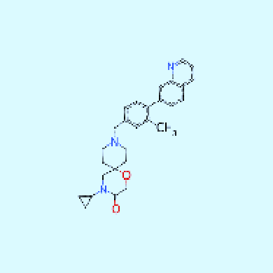 Cc1cc(CN2CCC3(CC2)CN(C2CC2)C(=O)CO3)ccc1-c1ccc2cccnc2c1